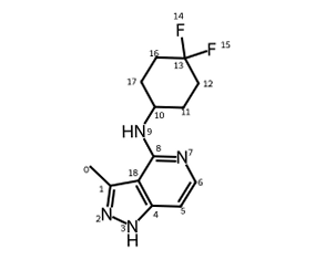 Cc1n[nH]c2ccnc(NC3CCC(F)(F)CC3)c12